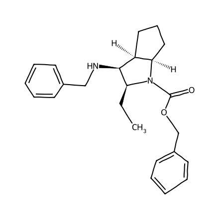 CC[C@H]1[C@@H](NCc2ccccc2)[C@H]2CCC[C@H]2N1C(=O)OCc1ccccc1